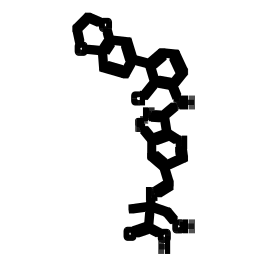 CC(CO)(N=Cc1cnc2c(Nc3cccc(-c4ccc5c(c4)OCCO5)c3Cl)nsc2c1)C(=O)O